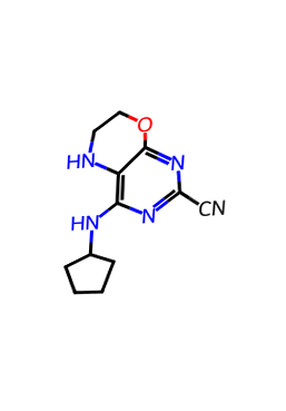 N#Cc1nc(NC2CCCC2)c2c(n1)OCCN2